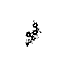 Cn1nc(-c2ccc(F)cc2)c2ccc(N3C(=O)CC(NC(=O)C4CC4)C3c3ccccc3)cc21